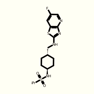 CC(C)S(=O)(=O)N[C@H]1CC[C@H](CNc2nc3ncc(F)cc3s2)CC1